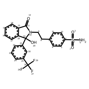 NS(=O)(=O)c1ccc(CCN2C(=O)c3ccccc3C2(O)c2cccc(C(F)(F)F)c2)cc1